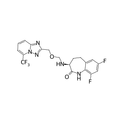 O=C1Nc2c(F)cc(F)cc2CC[C@@H]1NCOCc1nc2cccc(C(F)(F)F)n2n1